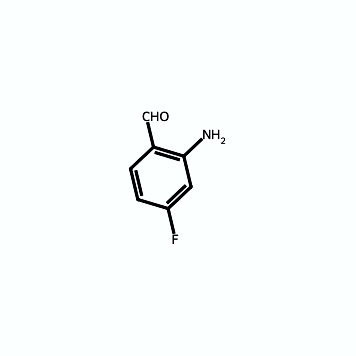 Nc1cc(F)ccc1C=O